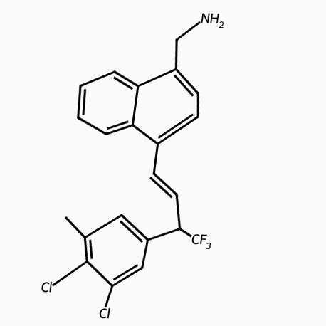 Cc1cc(C(/C=C/c2ccc(CN)c3ccccc23)C(F)(F)F)cc(Cl)c1Cl